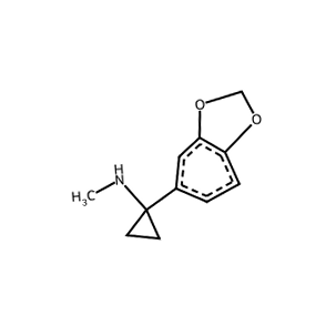 CNC1(c2ccc3c(c2)OCO3)CC1